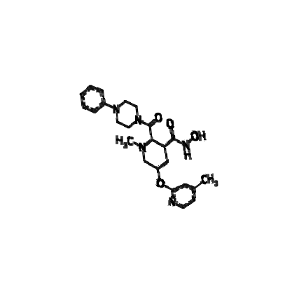 Cc1ccnc(OC2CC(C(=O)NO)C(C(=O)N3CCN(c4ccccc4)CC3)N(C)C2)c1